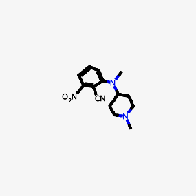 CN1CCC(N(C)c2cccc([N+](=O)[O-])c2C#N)CC1